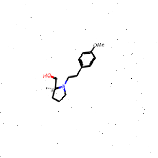 COc1ccc(CCN2CCC[C@@]2(C)CO)cc1